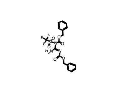 NC(=NC(=O)OCc1ccccc1)N(C(=O)OCc1ccccc1)S(=O)(=O)C(F)(F)F